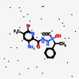 CC(c1ccccc1)[N+](O)(NNC(=O)c1nc(Br)c(C(F)(F)F)cc1N)C(=O)[O-]